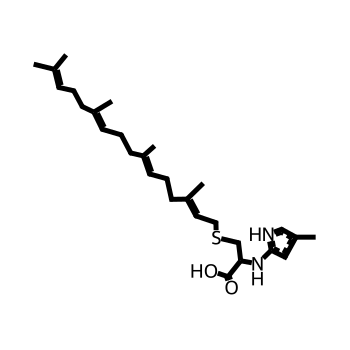 CC(C)=CCC/C(C)=C/CC/C(C)=C/CC/C(C)=C/CSCC(Nc1cc(C)c[nH]1)C(=O)O